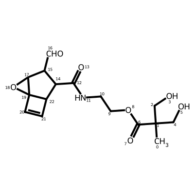 CC(CO)(CO)C(=O)OCCNC(=O)C1C(C=O)C2OC23C=CC13